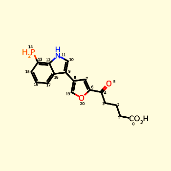 O=C(O)CCCC(=O)c1cc(-c2c[nH]c3c(P)cccc23)co1